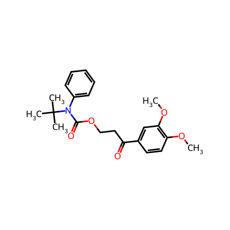 COc1ccc(C(=O)CCOC(=O)N(c2ccccc2)C(C)(C)C)cc1OC